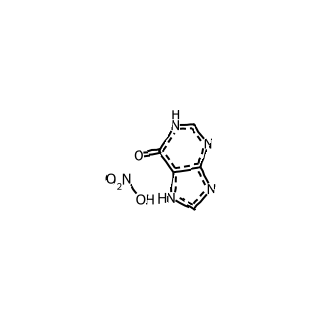 O=[N+]([O-])O.O=c1[nH]cnc2nc[nH]c12